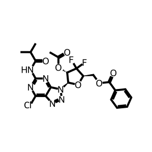 CC(=O)O[C@H]1[C@H](n2nnc3c(Cl)nc(NC(=O)C(C)C)nc32)O[C@H](COC(=O)c2ccccc2)C1(F)F